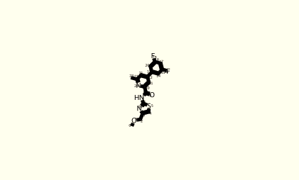 COCc1csc(NC(=O)c2cc(-c3cc(F)cc(F)c3)cc(C)n2)n1